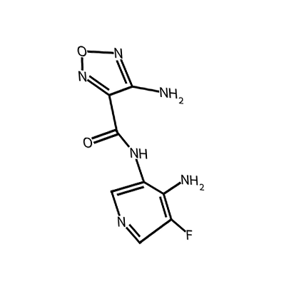 Nc1nonc1C(=O)Nc1cncc(F)c1N